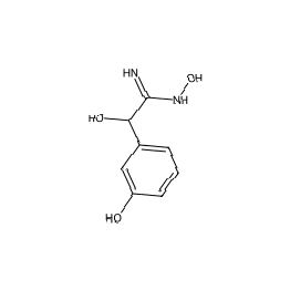 N=C(NO)C(O)c1cccc(O)c1